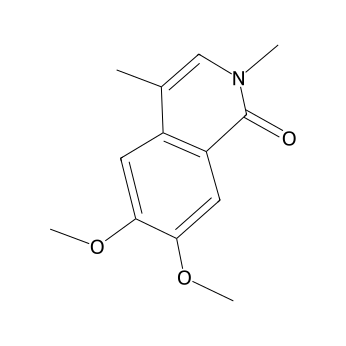 COc1cc2c(C)cn(C)c(=O)c2cc1OC